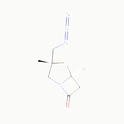 C[C@]1(CN=[N+]=[N-])CN2C(=O)C[C@@H]2S1